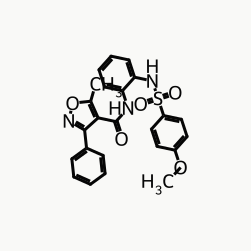 COc1ccc(S(=O)(=O)Nc2ccccc2NC(=O)c2c(-c3ccccc3)noc2C)cc1